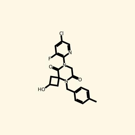 Cc1ccc(CN2C(=O)CN(c3ncc(Cl)cc3F)C(=O)C23CC(O)C3)cc1